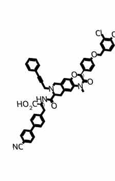 CN1C(=O)[C@H](c2ccc(OCc3ccc(Cl)c(Cl)c3)cc2)Oc2cc3c(cc21)CC(C(=O)N[C@@H](Cc1ccc(-c2ccc(C#N)cc2)cc1)C(=O)O)N(CC#Cc1ccccc1)C3